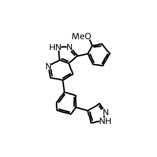 COc1ccccc1-c1n[nH]c2ncc(-c3cccc(-c4cn[nH]c4)c3)cc12